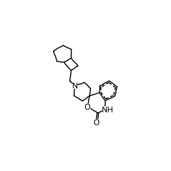 O=C1Nc2ccccc2C2(CCN(CC3CC4CCCCC43)CC2)O1